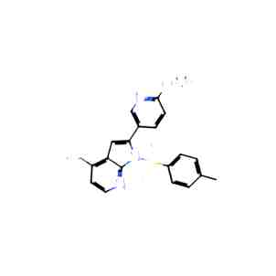 COc1ccc(-c2cc3c(Cl)ccnc3n2S(=O)(=O)c2ccc(C)cc2)cn1